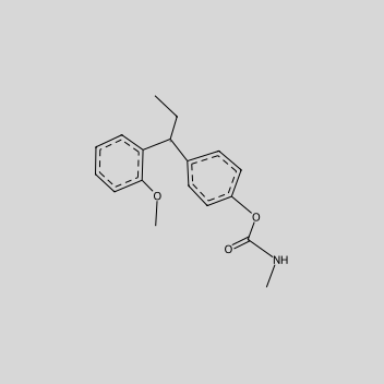 CC[C](c1ccc(OC(=O)NC)cc1)c1ccccc1OC